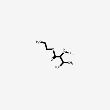 CCCOC(=O)C(NC)C(C)C